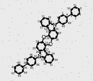 c1ccc(-c2ccc(-n3c4ccccc4c4c5c(ccc43)Oc3c(ccc4c3c3ccccc3n4-c3ccc(-c4ccccc4)cc3)O5)cc2)cc1